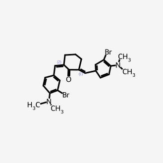 CN(C)c1ccc(/C=C2/CCC/C(=C\c3ccc(N(C)C)c(Br)c3)C2=O)cc1Br